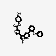 O=C(NC1CCC(O)CC1)c1cc(-c2c[nH]c3ncc(-c4ccccc4Oc4ccccc4)cc23)co1